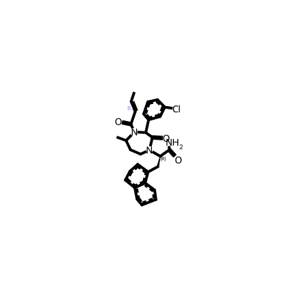 C/C=C/C(=O)N1C(C)CCN([C@H](Cc2cccc3ccccc23)C(N)=O)C(=O)C1c1cccc(Cl)c1